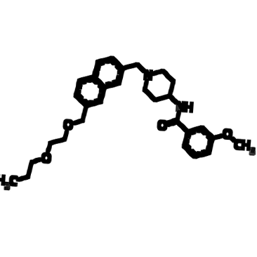 CCCOCCOCc1ccc2ccc(CN3CCC(NC(=O)c4cccc(OC)c4)CC3)cc2c1